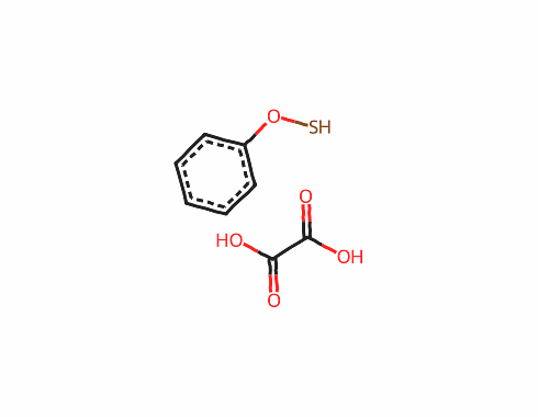 O=C(O)C(=O)O.SOc1ccccc1